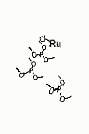 COP(OC)OC.COP(OC)OC.COP(OC)OC.[Cl][Ru]